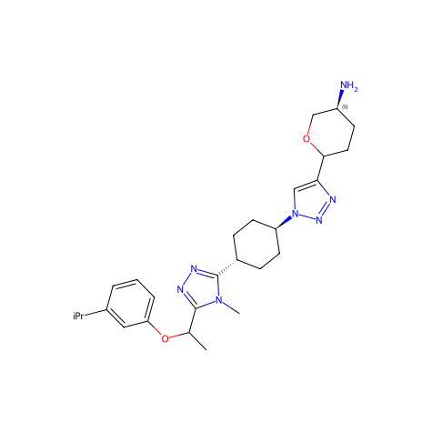 CC(C)c1cccc(OC(C)c2nnc([C@H]3CC[C@H](n4cc(C5CC[C@H](N)CO5)nn4)CC3)n2C)c1